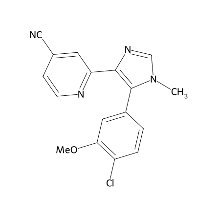 COc1cc(-c2c(-c3cc(C#N)ccn3)ncn2C)ccc1Cl